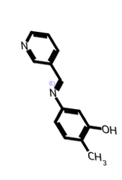 Cc1ccc(/N=C/c2cccnc2)cc1O